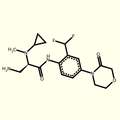 CN(C1CC1)[C@H](CN)C(=O)Nc1ccc(N2CCOCC2=O)cc1C(F)F